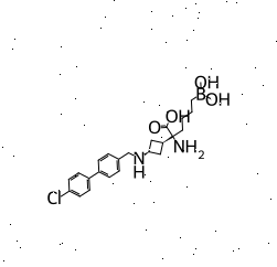 NC(CCCCB(O)O)(C(=O)O)[C@H]1C[C@@H](NCc2ccc(-c3ccc(Cl)cc3)cc2)C1